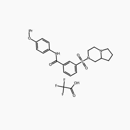 CC(C)Oc1ccc(NC(=O)c2cccc(S(=O)(=O)N3CCN4CCCC4C3)c2)cc1.O=C(O)C(F)(F)F